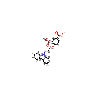 COC(=O)c1ccc(OCCCn2c3ccccc3c3ccccc32)c(C(=O)OC)c1